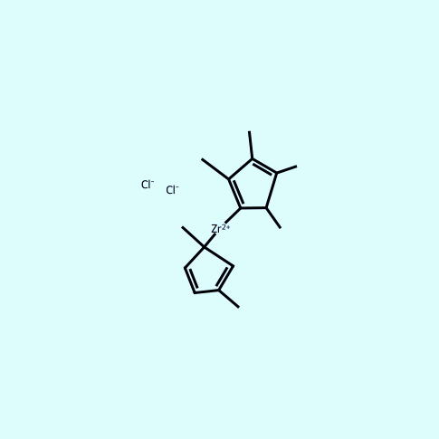 CC1=C[C](C)([Zr+2][C]2=C(C)C(C)=C(C)C2C)C=C1.[Cl-].[Cl-]